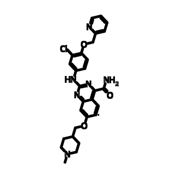 CN1CCC(COc2[c]cc3c(C(N)=O)nc(Nc4ccc(OCc5ccccn5)c(Cl)c4)nc3c2)CC1